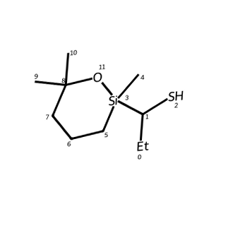 CCC(S)[Si]1(C)CCCC(C)(C)O1